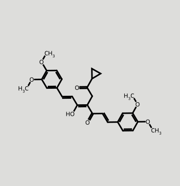 COc1ccc(/C=C/C(=O)/C(CC(=O)C2CC2)=C(O)/C=C/c2ccc(OC)c(OC)c2)cc1OC